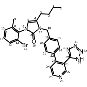 CCCCc1cn(-c2c(C)cccc2Br)c(=O)n1Cc1ccc(-c2ccncc2-c2nnn[nH]2)cc1